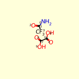 NC(=O)C(F)(F)F.O=C(O)C(=O)O